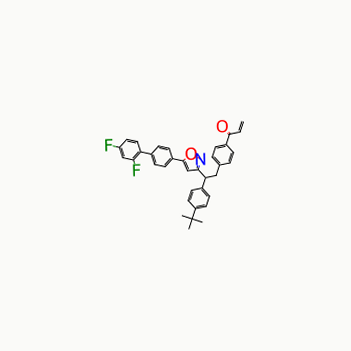 C=CC(=O)c1ccc(CC(c2ccc(C(C)(C)C)cc2)c2cc(-c3ccc(-c4ccc(F)cc4F)cc3)on2)cc1